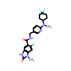 CN(c1ccc(CNC(=O)c2cc3[nH]c(=O)n(C)c3cc2F)cn1)C1CCC(F)(F)CC1